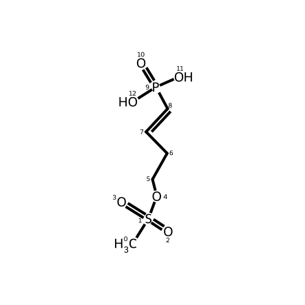 CS(=O)(=O)OCCC=CP(=O)(O)O